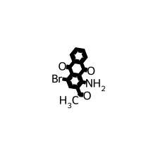 CC(=O)c1cc(Br)c2c(c1N)C(=O)c1ccccc1C2=O